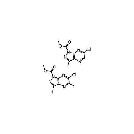 COC(=O)n1nc(I)c2nc(C)c(Cl)nc21.COC(=O)n1nc(I)c2ncc(Cl)nc21